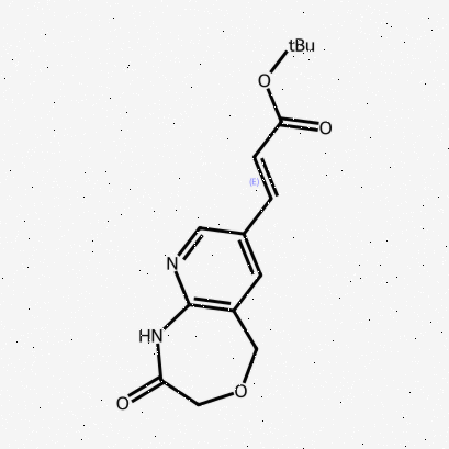 CC(C)(C)OC(=O)/C=C/c1cnc2c(c1)COCC(=O)N2